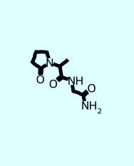 CC(C(=O)NCC(N)=O)N1CCCC1=O